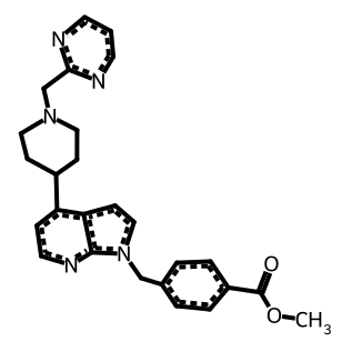 COC(=O)c1ccc(Cn2ccc3c(C4CCN(Cc5ncccn5)CC4)ccnc32)cc1